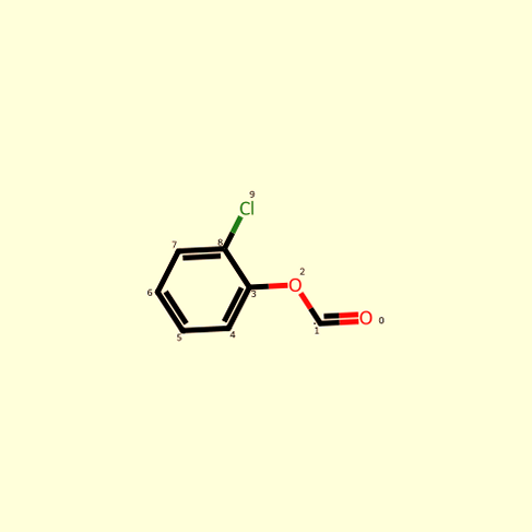 O=[C]Oc1ccccc1Cl